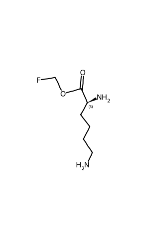 NCCCC[C@H](N)C(=O)OCF